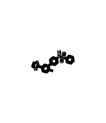 Cc1ccc(-c2nccs2)cc1-c1ccc(NS(=O)(=O)c2ccccc2)cc1